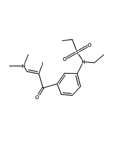 CCN(c1cccc(C(=O)C(I)=CN(C)C)c1)S(=O)(=O)CC